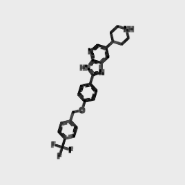 FC(F)(F)c1ccc(COc2ccc(-c3nc4cc(C5CCNCC5)cnc4[nH]3)cc2)cc1